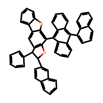 c1ccc(C2c3cc4c(sc5ccccc54)c(-c4c5ccccc5c(-c5cccc6ccccc56)c5ccccc45)c3OC2c2ccc3ccccc3c2)cc1